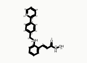 O=C(/C=C/c1ccccc1NCc1ccc(-c2ccccn2)cc1)NO